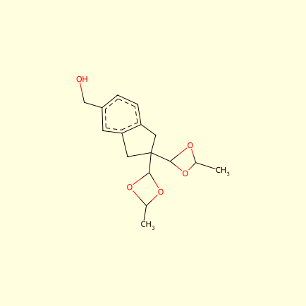 CC1OC(C2(C3OC(C)O3)Cc3ccc(CO)cc3C2)O1